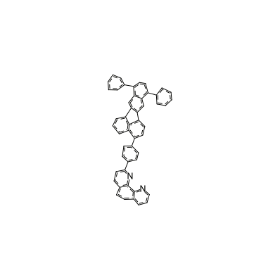 c1ccc(-c2ccc(-c3ccccc3)c3cc4c(cc23)-c2cccc3c(-c5ccc(-c6ccc7ccc8cccnc8c7n6)cc5)ccc-4c23)cc1